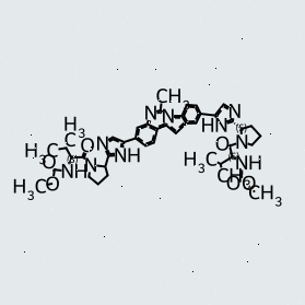 COC(=O)N[C@H](C(=O)N1CCCC1c1ncc(-c2ccc3c(c2)nc(C)n2c4ccc(-c5cnc([C@@H]6CCCN6C(=O)[C@@H](NC(=O)OC)C(C)C)[nH]5)cc4cc32)[nH]1)C(C)C